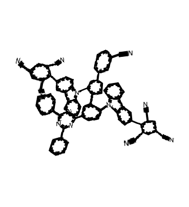 N#Cc1cccc(-c2ccc(-c3cc(-c4nc(-c5ccccc5)nc(-c5ccccc5)n4)ccc3-n3c4ccccc4c4cc(-c5c(C#N)cc(C#N)cc5C#N)ccc43)c(-n3c4ccccc4c4cc(-c5c(C#N)cc(C#N)cc5C#N)ccc43)c2)c1